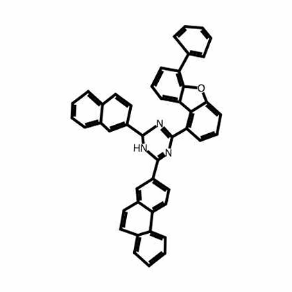 c1ccc(-c2cccc3c2oc2cccc(C4=NC(c5ccc6ccccc6c5)NC(c5ccc6c(ccc7ccccc76)c5)=N4)c23)cc1